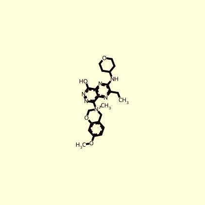 CCc1nc2c([N+]3(C)COc4cc(OC)ccc4C3)nnc(O)c2nc1NC1CCOCC1